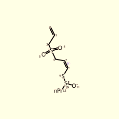 C=CCS(=O)(=O)C/C=C\S[S+]([O-])CCC